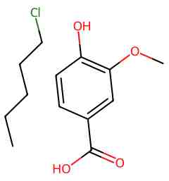 CCCCCCl.COc1cc(C(=O)O)ccc1O